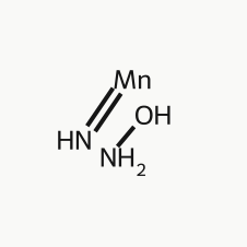 NO.[NH]=[Mn]